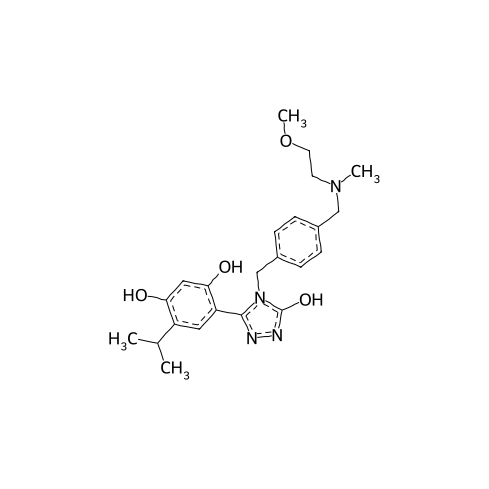 COCCN(C)Cc1ccc(Cn2c(O)nnc2-c2cc(C(C)C)c(O)cc2O)cc1